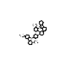 N#Cc1ccc2c(c1)c1cccc(C#N)c1n2-c1ccc(-c2ccccc2-c2cccc(C#N)c2-n2c3ccccc3c3ccccc32)cc1